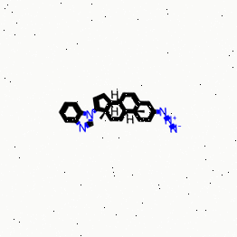 C[C@]12CCC(N=[N+]=[N-])CC1=CC[C@@H]1[C@@H]2CC[C@]2(C)C(n3cnc4ccccc43)=CC[C@@H]12